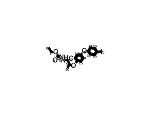 CCOC(=O)NNC(=O)C(C)Oc1ccc(Oc2ccc(I)cc2)cc1